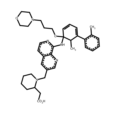 Cc1ccccc1C1=CC=CC(Nc2nccc3cc(CN4CCCCC4CC(=O)O)cnc23)(OCCCN2CCOCC2)C1C